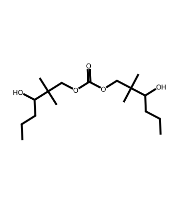 CCCC(O)C(C)(C)COC(=O)OCC(C)(C)C(O)CCC